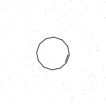 [CH]1CC/C=C\CCCCCCC1